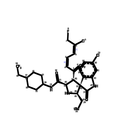 C=C(/C=C\C=C(\Cl)CF)[C@H]1[C@H](C(=O)NC2CCN(CC(F)(F)F)CC2)N[C@H](CC(C)(C)C)[C@]12C(=O)Nc1cc(Cl)ccc12